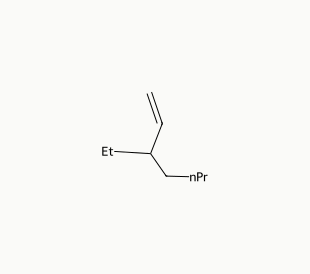 [CH2]CCCC(C=C)CC